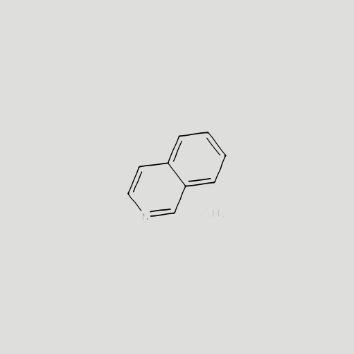 [SiH4].c1ccc2cnccc2c1